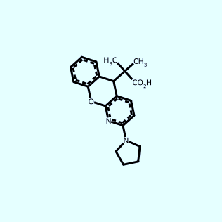 CC(C)(C(=O)O)C1c2ccccc2Oc2nc(N3CCCC3)ccc21